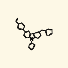 C=Cc1ccc(-c2ccc3c(c2)c2c(n3-c3ccccc3)CCC(Cc3ccccc3)=C2)cc1